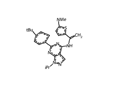 C=C(Nc1nc(-c2ccc(C(C)(C)C)cc2)nc2c1cnn2C(C)C)c1ccc(NC)s1